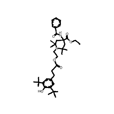 CCOC(=O)C1(NC(=O)c2ccccc2)CC(C)(C)N(CCOC(=O)CCc2cc(C(C)(C)C)c(O)c(C(C)(C)C)c2)C(C)(C)C1